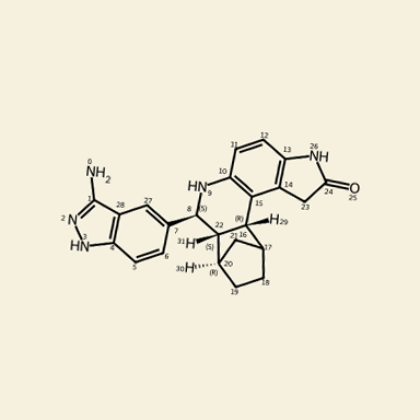 Nc1n[nH]c2ccc([C@H]3Nc4ccc5c(c4[C@@H]4C6CC[C@H](C6)[C@H]34)CC(=O)N5)cc12